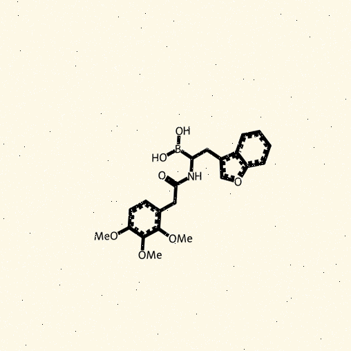 COc1ccc(CC(=O)NC(Cc2coc3ccccc23)B(O)O)c(OC)c1OC